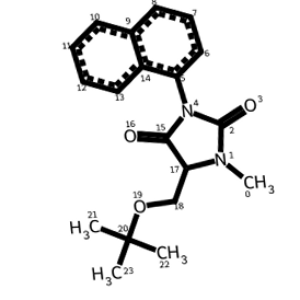 CN1C(=O)N(c2cccc3ccccc23)C(=O)C1COC(C)(C)C